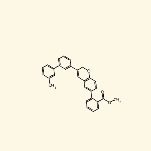 COC(=O)c1ccccc1-c1ccc2c(c1)C=C(c1cccc(-c3cccc(C)c3)c1)CO2